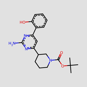 CC(C)(C)OC(=O)N1CCCC(c2cc(-c3ccccc3O)nc(N)n2)C1